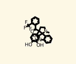 CN1CCC(C(=O)c2ccccc2C(F)(F)F)(c2ccc(O)c(O)c2)C12C(=O)Nc1ccccc12